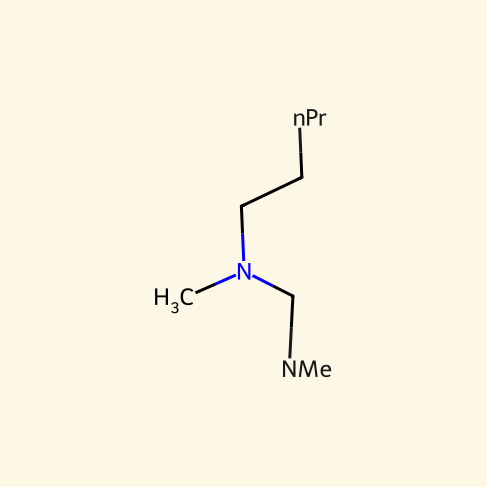 CCCCCN(C)CNC